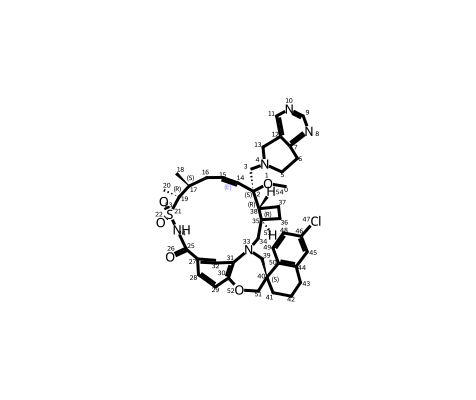 CO[C@]1(CN2CCc3ncncc3C2)/C=C/C[C@H](C)[C@@H](C)S(=O)(=O)NC(=O)c2ccc3c(c2)N(C[C@@H]2CC[C@H]21)C[C@@]1(CCCc2cc(Cl)ccc21)CO3